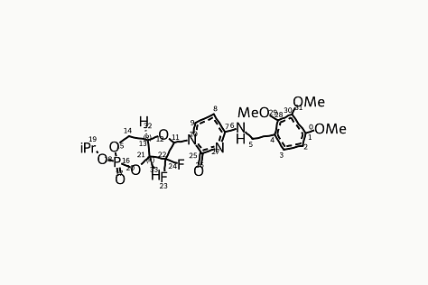 COc1ccc(CNc2ccn(C3O[C@@H]4COP(=O)(OC(C)C)O[C@H]4C3(F)F)c(=O)n2)c(OC)c1OC